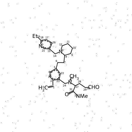 C=Cc1ccc(CCC2CCCCN2Cc2ccc(CC)nc2)cc1CN(C)C(CCC=O)C(=O)NC